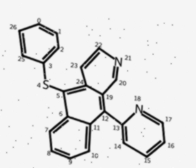 c1ccc(Sc2c3ccccc3c(-c3ccccn3)c3cnccc23)cc1